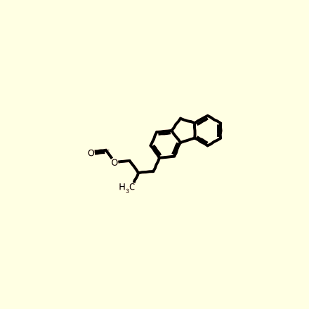 CC(CO[C]=O)Cc1ccc2c(c1)-c1ccccc1C2